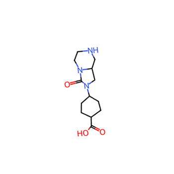 O=C(O)C1CCC(N2CC3CNCCN3C2=O)CC1